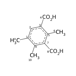 Cc1cc(C(=O)O)c(C)c(C(=O)O)c1C